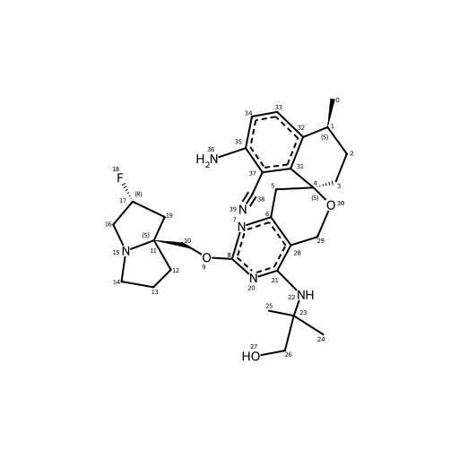 C[C@H]1CC[C@]2(Cc3nc(OC[C@@]45CCCN4C[C@H](F)C5)nc(NC(C)(C)CO)c3CO2)c2c1ccc(N)c2C#N